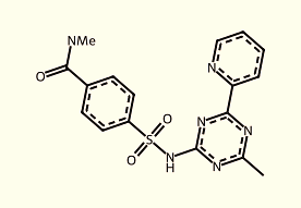 CNC(=O)c1ccc(S(=O)(=O)Nc2nc(C)nc(-c3ccccn3)n2)cc1